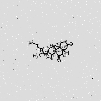 CC(C)CCC[C@@H](C)[C@H]1CCC2C3C(=O)C[C@H]4CC(=O)CC[C@]4(C)C3CC[C@@]21C